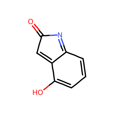 O=C1C=c2c(O)cccc2=N1